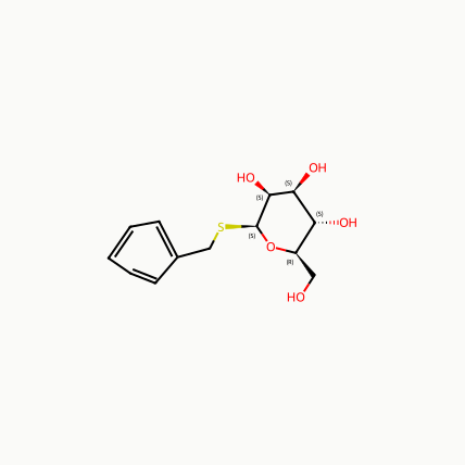 OC[C@H]1O[C@@H](SCc2ccccc2)[C@@H](O)[C@@H](O)[C@@H]1O